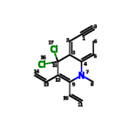 C#C/C=C1\C(=C/C)N(C)C(C=C)=C(C=C)C1(Cl)Cl